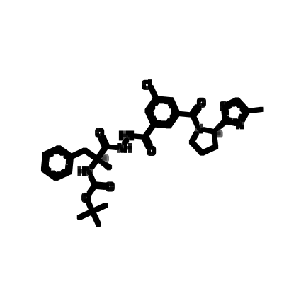 Cc1csc([C@H]2CCCN2C(=O)c2cc(Cl)cc(C(=O)NNC(=O)[C@@](C)(Cc3ccccc3)NC(=O)OC(C)(C)C)c2)n1